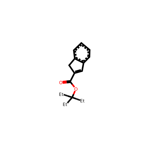 CCC(CC)(CC)OC(=O)C1=Cc2ccccc2C1